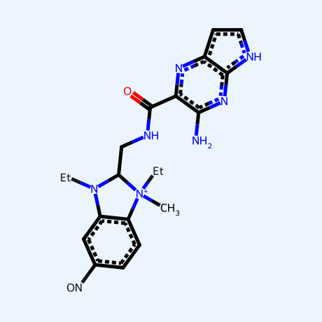 CCN1c2cc(N=O)ccc2[N+](C)(CC)C1CNC(=O)c1nc2cc[nH]c2nc1N